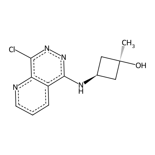 C[C@]1(O)C[C@@H](Nc2nnc(Cl)c3ncccc23)C1